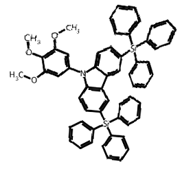 COc1cc(-n2c3ccc([Si](c4ccccc4)(c4ccccc4)c4ccccc4)cc3c3cc([Si](c4ccccc4)(c4ccccc4)c4ccccc4)ccc32)cc(OC)c1OC